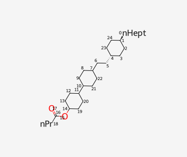 CCCCCCC[C@H]1CC[C@H](CCC2CCC(C3CCC(OC(=O)CCC)CC3)CC2)CC1